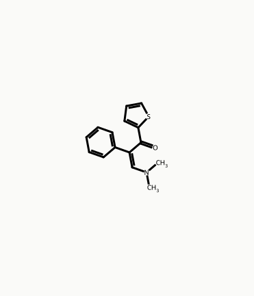 CN(C)C=C(C(=O)c1cccs1)c1ccccc1